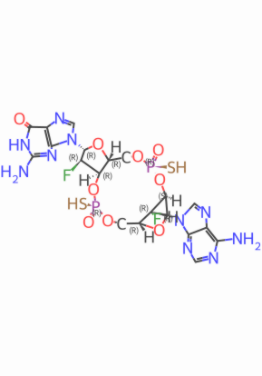 Nc1nc2c(ncn2[C@@H]2O[C@@H]3CO[P@@](=O)(S)O[C@@H]4[C@H](F)[C@@H](CO[P@@](=O)(S)O[C@H]3[C@H]2F)O[C@H]4n2cnc3c(N)ncnc32)c(=O)[nH]1